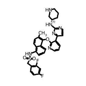 Cc1ccc2c(NS(=O)(=O)Cc3ccc(F)cc3F)cccc2c1Oc1ncccc1-c1ccnc(N[C@H]2CCCNC2)n1